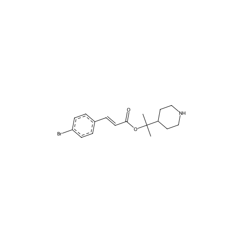 CC(C)(OC(=O)/C=C/c1ccc(Br)cc1)C1CCNCC1